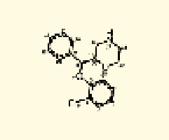 Clc1ccccc1OC(c1ccccc1)[C@H]1CNCCO1